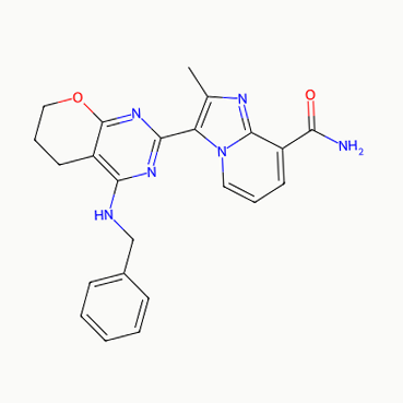 Cc1nc2c(C(N)=O)cccn2c1-c1nc(NCc2ccccc2)c2c(n1)OCCC2